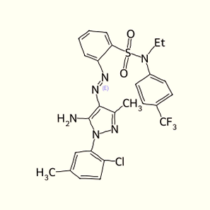 CCN(c1ccc(C(F)(F)F)cc1)S(=O)(=O)c1ccccc1/N=N/c1c(C)nn(-c2cc(C)ccc2Cl)c1N